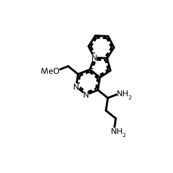 COCc1nnc(C(N)CCN)c2cc3ccccn3c12